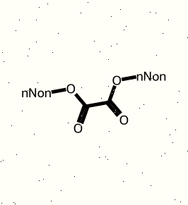 CCCCCCCCCOC(=O)C(=O)OCCCCCCCCC